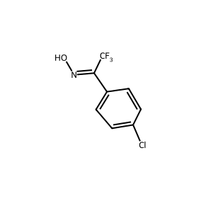 ON=C(c1ccc(Cl)cc1)C(F)(F)F